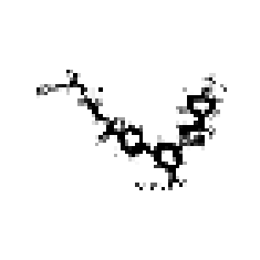 COC(=O)c1cc(-c2ccc(C(=O)NCCCNC(=O)OC(C)(C)C)cc2)cc(-n2cc(-c3ccc(C(F)(F)F)cc3)nn2)c1